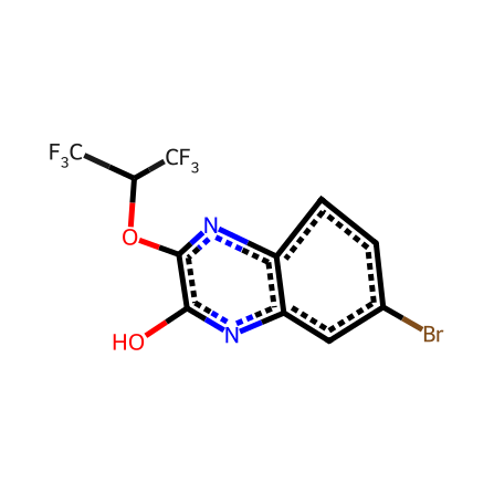 Oc1nc2cc(Br)ccc2nc1OC(C(F)(F)F)C(F)(F)F